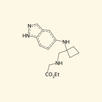 CCOC(=O)CNCC1(Nc2ccc3[nH]ncc3c2)CCC1